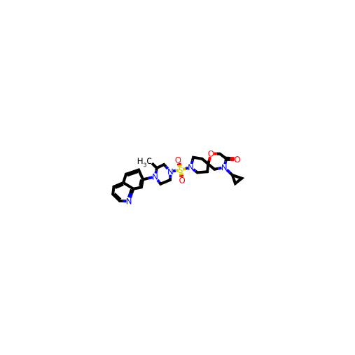 CC1CN(S(=O)(=O)N2CCC3(CC2)CN(C2CC2)C(=O)CO3)CCN1c1ccc2cccnc2c1